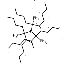 CCCCC(C)C(P)(CCCC)P(C(P)(CCCC)C(C)CCCC)C(P)(CCCC)C(C)CCCC